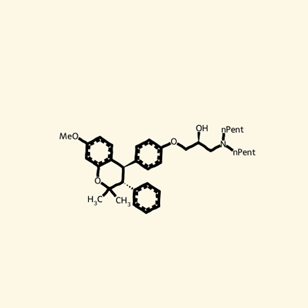 CCCCCN(CCCCC)C[C@H](O)COc1ccc([C@@H]2c3ccc(OC)cc3OC(C)(C)[C@H]2c2ccccc2)cc1